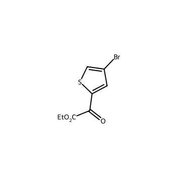 CCOC(=O)C(=O)c1cc(Br)cs1